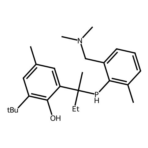 CCC(C)(Pc1c(C)cccc1CN(C)C)c1cc(C)cc(C(C)(C)C)c1O